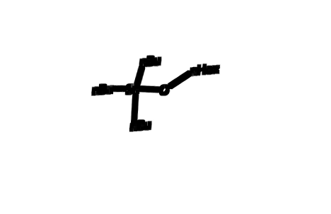 CCCCCC[O][Sn]([CH2]CCC)([CH2]CCC)[CH2]CCC